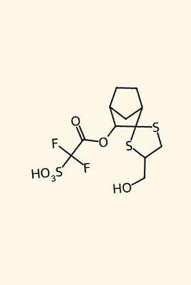 O=C(OC1C2CCC(C2)C12SCC(CO)S2)C(F)(F)S(=O)(=O)O